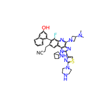 CN(C)C1CN(c2nc3c(F)c(-c4cc(O)cc5ccccc45)c(CCC#N)cc3c3c2nc(-c2csc(N4CCNCC4)n2)n3C2C3CNC2C3)C1